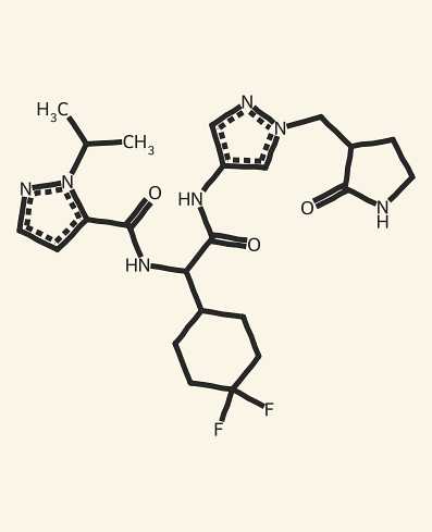 CC(C)n1nccc1C(=O)NC(C(=O)Nc1cnn(CC2CCNC2=O)c1)C1CCC(F)(F)CC1